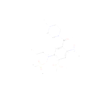 CN1CCN(C(=O)c2cc(N(CCBr)OS(C)(=O)=O)c(S(C)(=O)=O)cc2[N+](=O)[O-])CC1